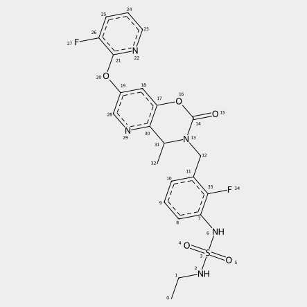 CCNS(=O)(=O)Nc1cccc(CN2C(=O)Oc3cc(Oc4ncccc4F)cnc3C2C)c1F